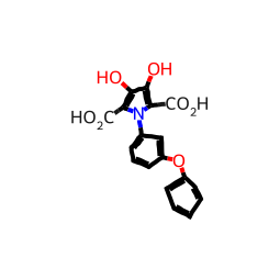 O=C(O)c1c(O)c(O)c(C(=O)O)n1-c1cccc(Oc2ccccc2)c1